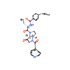 CC(C)C[C@H](NC(=O)c1ccc(C(C)(C)C)cc1)C(=O)N1CC[C@@H]2[C@H]1C(=O)CN2C(=O)c1ccncc1